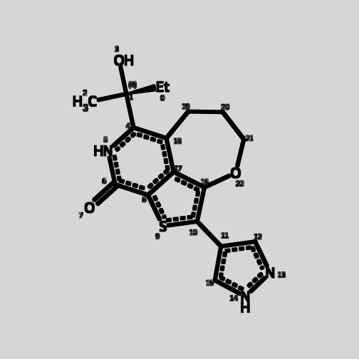 CC[C@@](C)(O)c1[nH]c(=O)c2sc(-c3cn[nH]c3)c3c2c1CCCO3